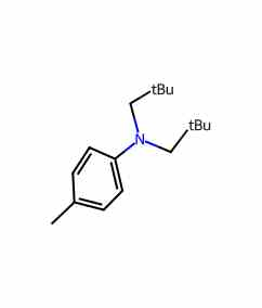 Cc1ccc(N(CC(C)(C)C)CC(C)(C)C)cc1